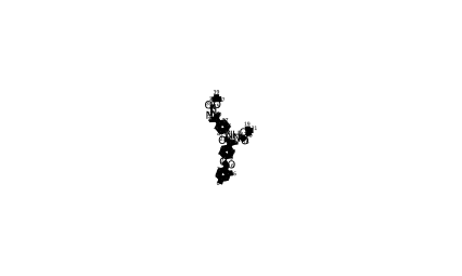 Cc1ccc(C(=O)Oc2ccc(C(CNC(=O)OC(C)(C)C)C(=O)Nc3ccc(-c4cnn(C(=O)OC(C)(C)C)c4)cc3)cc2)c(C)c1